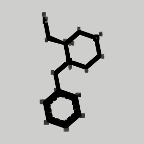 FC[C@H]1COCCN1Cc1ccccc1